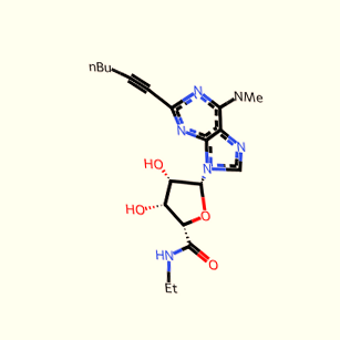 CCCCC#Cc1nc(NC)c2ncn([C@@H]3O[C@H](C(=O)NCC)[C@H](O)[C@@H]3O)c2n1